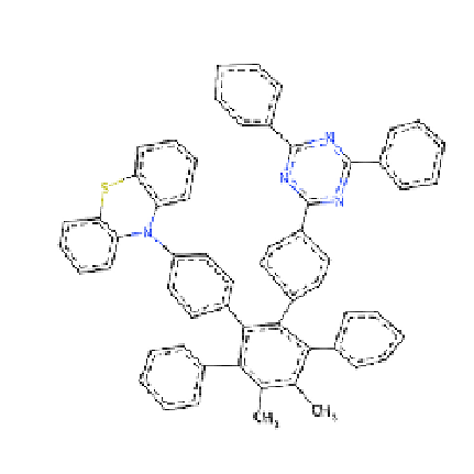 Cc1c(C)c(-c2ccccc2)c(-c2ccc(N3c4ccccc4Sc4ccccc43)cc2)c(-c2ccc(-c3nc(-c4ccccc4)nc(-c4ccccc4)n3)cc2)c1-c1ccccc1